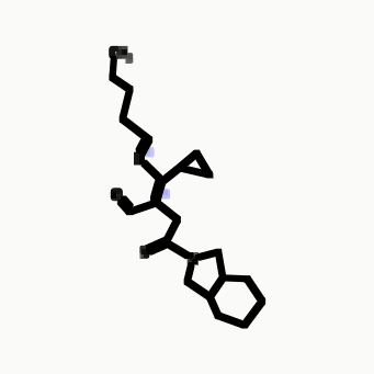 CCCC/C=N/C(=C(\C=O)CC(=S)N1CC2CCCCC2C1)C1CC1